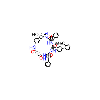 COc1ccccc1-c1ccc(C[C@@H]2NC(=O)[C@@H](CCc3ccccc3)NC(=O)CCC(=O)Nc3ccc(cc3)C[C@@H](C(=O)O)NC(=O)[C@@H](Cc3ccccc3)NC2=O)cc1